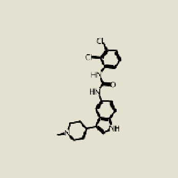 CN1CCC(c2c[nH]c3ccc(NC(=O)Nc4cccc(Cl)c4Cl)cc23)CC1